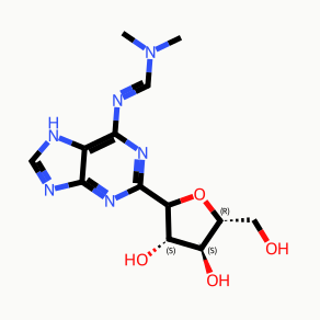 CN(C)C=Nc1nc(C2O[C@H](CO)[C@@H](O)[C@@H]2O)nc2nc[nH]c12